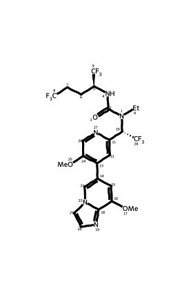 CCN(C(=O)N[C@@H](CCC(F)(F)F)C(F)(F)F)[C@@H](c1cc(-c2cc(OC)c3nccn3c2)c(OC)cn1)C(F)(F)F